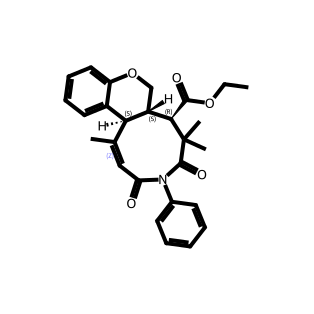 CCOC(=O)[C@@H]1[C@H]2COc3ccccc3[C@@H]2/C(C)=C\C(=O)N(c2ccccc2)C(=O)C1(C)C